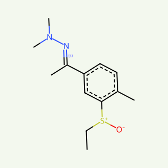 CC[S+]([O-])c1cc(/C(C)=N/N(C)C)ccc1C